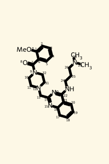 COc1ccccc1C(=O)N1CCN(CC2=NC3CC=CC=C3C(NCCCN(C)C)=N2)CC1